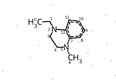 CCN1CCN(C)c2ccccc21